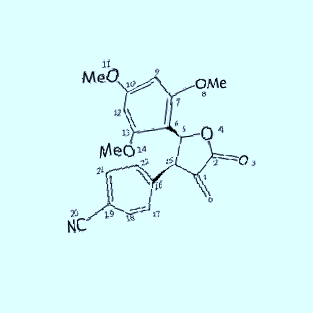 C=C1C(=O)O[C@H](c2c(OC)cc(OC)cc2OC)[C@@H]1c1ccc(C#N)cc1